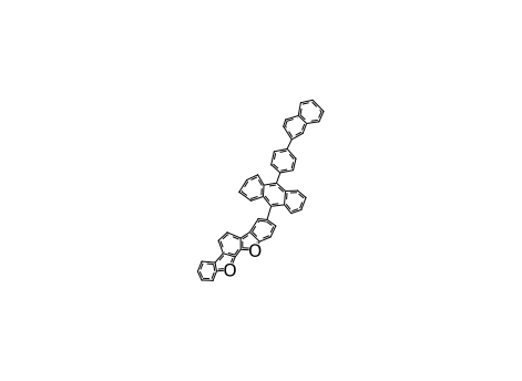 c1ccc2cc(-c3ccc(-c4c5ccccc5c(-c5ccc6oc7c(ccc8c9ccccc9oc87)c6c5)c5ccccc45)cc3)ccc2c1